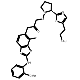 COc1ccccc1Nc1nc2ccc(CC(=O)CON3CCC[C@H]3c3ncc(CCC(=O)O)o3)c(F)c2o1